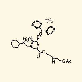 C.CCN(Cc1cc(C(=O)OCCNCCOC(C)=O)cc(Br)c1N)C1CCCCC1.O=C(c1ccccc1)c1ccccc1